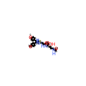 COc1ccc(-c2nc(SCCCC(=O)N[C@@H](CCCCNC(C)=O)C(=O)O)[nH]c2-c2ccc(OC)cc2)cc1